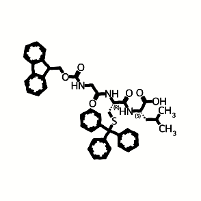 CC(C)C[C@H](NC(=O)[C@H](CSC(c1ccccc1)(c1ccccc1)c1ccccc1)NC(=O)CNC(=O)OCC1c2ccccc2-c2ccccc21)C(=O)O